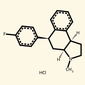 CN1CC[C@@H]2c3ccccc3[C@H](c3ccc(F)cc3)C[C@@H]21.Cl